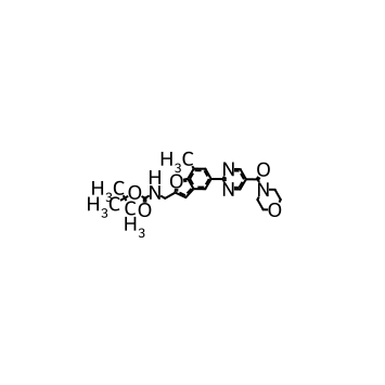 Cc1cc(-c2ncc(C(=O)N3CCOCC3)cn2)cc2cc(CNC(=O)OC(C)(C)C)oc12